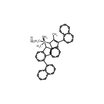 CC1=C(c2cccc3ccccc23)c2ccccc2[CH]1[Zr]([CH3])([CH3])(=[SiH2])[CH]1C(C(C)C)=Cc2c(-c3cccc4ccccc34)cccc21.Cl.Cl